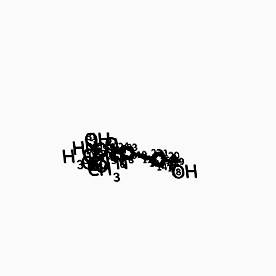 CC(CCn1cnc2cc(C#Cc3ccc(C4(CO)CC4)cc3)ccc2c1=O)(C(=O)NO)S(C)(=O)=O